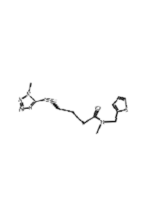 CN(Cc1cccs1)C(=O)CCCSc1nnnn1C